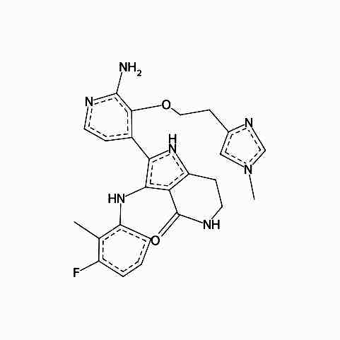 Cc1c(F)cccc1Nc1c(-c2ccnc(N)c2OCCc2cn(C)cn2)[nH]c2c1C(=O)NCC2